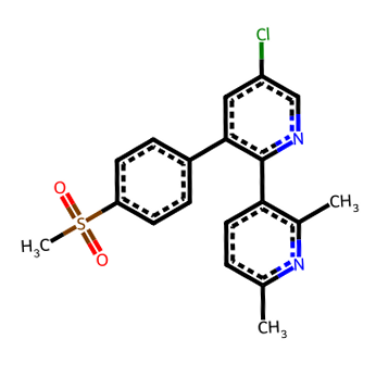 Cc1ccc(-c2ncc(Cl)cc2-c2ccc(S(C)(=O)=O)cc2)c(C)n1